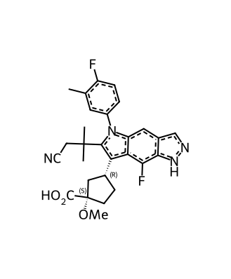 CO[C@@]1(C(=O)O)CC[C@@H](c2c(C(C)(C)CC#N)n(-c3ccc(F)c(C)c3)c3cc4cn[nH]c4c(F)c23)C1